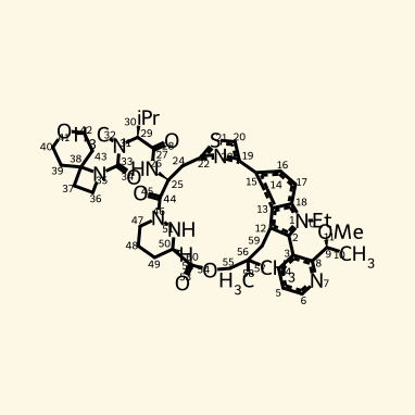 CCn1c(-c2cccnc2[C@H](C)OC)c2c3cc(ccc31)-c1csc(n1)C[C@H](NC(=O)[C@H](C(C)C)N(C)C(=O)N1CCC13CCOCC3)C(=O)N1CCC[C@H](N1)C(=O)OCC(C)(C)C2